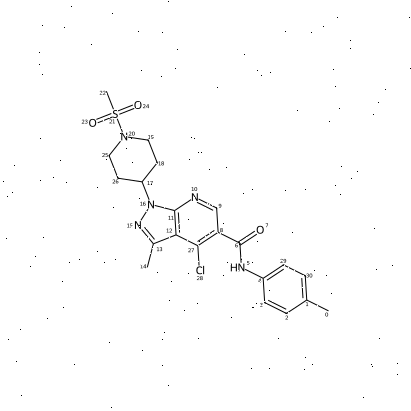 Cc1ccc(NC(=O)c2cnc3c(c(C)nn3C3CCN(S(C)(=O)=O)CC3)c2Cl)cc1